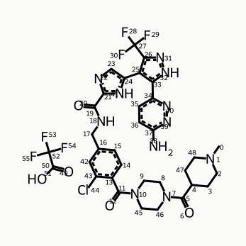 CN1CCC(C(=O)N2CCN(C(=O)c3ccc(CNC(=O)c4ncc(-c5c(C(F)(F)F)n[nH]c5-c5ccc(N)nn5)[nH]4)cc3Cl)CC2)CC1.O=C(O)C(F)(F)F